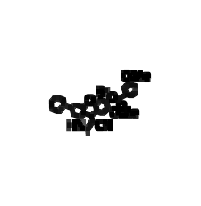 COc1cccc(C(=O)Oc2c(Br)cc(C3C(C#N)=C(C)NC4=C3C(=O)CC(c3ccccc3)C4)cc2OC)c1